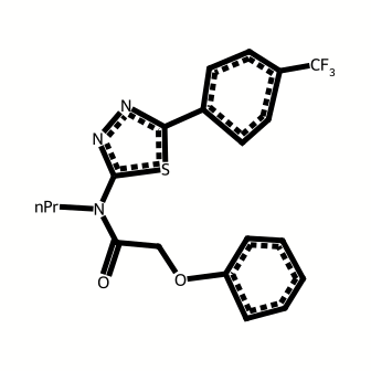 CCCN(C(=O)COc1ccccc1)c1nnc(-c2ccc(C(F)(F)F)cc2)s1